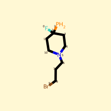 FC1(P)CCN(CCCBr)CC1